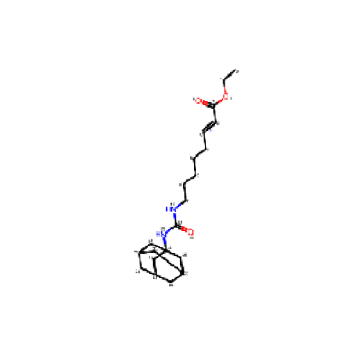 CCOC(=O)/C=C/CCCCCNC(=O)NC12CC3CC(CC(C3)C1)C2